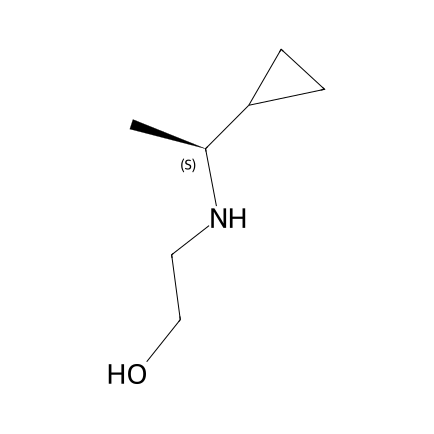 C[C@H](NCCO)C1CC1